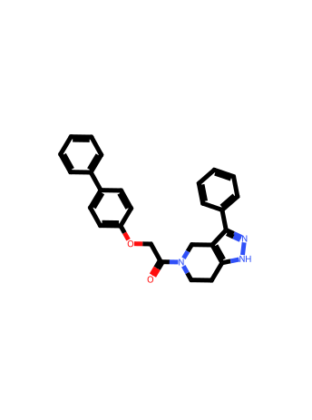 O=C(COc1ccc(-c2ccccc2)cc1)N1CCc2[nH]nc(-c3ccccc3)c2C1